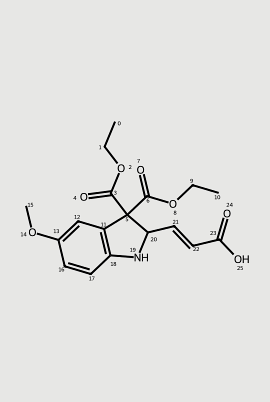 CCOC(=O)C1(C(=O)OCC)c2cc(OC)ccc2NC1C=CC(=O)O